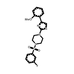 COc1ccccc1-c1csc(N2CCN(S(=O)(=O)c3cccc(F)c3)CC2)n1